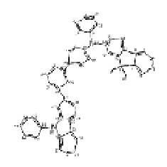 CC1(C)c2ccccc2-c2ccc(N(c3ccccc3)c3ccc(-c4cccc(-c5ccc6c7ccccc7n(-c7ccccc7)c6c5)c4)cc3)cc21